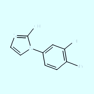 Cc1nccn1-c1ccc(C(C)C)c(O)c1